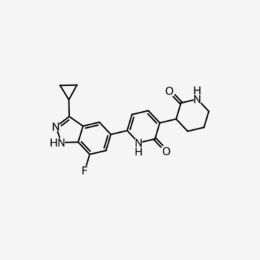 O=C1NCCCC1c1ccc(-c2cc(F)c3[nH]nc(C4CC4)c3c2)[nH]c1=O